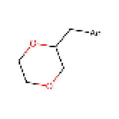 CC(=O)CC1COCCO1